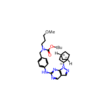 COCCCN(Cc1ccc(Nc2ncc3cnn([C@H]4C[C@@H]5CC[C@H]4C5)c3n2)cc1)C(=O)OC(C)(C)C